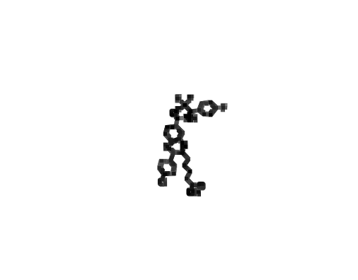 O=C(O)CCCCc1nc2cc(C(=O)N[C@H](c3ccc(F)cc3)C(F)(F)F)ccc2nc1-c1ccc(Cl)cc1